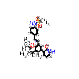 CCOc1c(/C=C/c2ccc(NS(C)(=O)=O)cc2)cc(-c2ccc[nH]c2=O)cc1C(C)(C)C